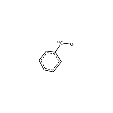 [O][14CH2]c1ccccc1